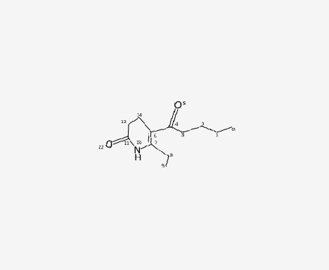 CCCCC(=O)C1=C(CC)NC(=O)CC1